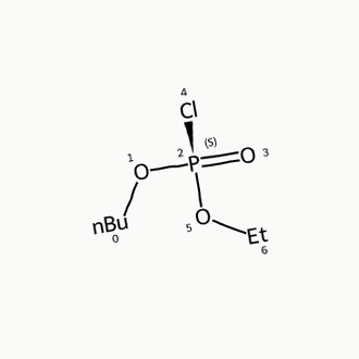 CCCCO[P@@](=O)(Cl)OCC